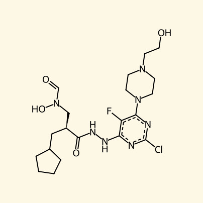 O=CN(O)C[C@H](CC1CCCC1)C(=O)NNc1nc(Cl)nc(N2CCN(CCO)CC2)c1F